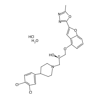 Cc1nnc(-c2cc3c(OC[C@H](O)CN4CCC(c5ccc(Cl)c(Cl)c5)CC4)cccc3o2)o1.Cl.O